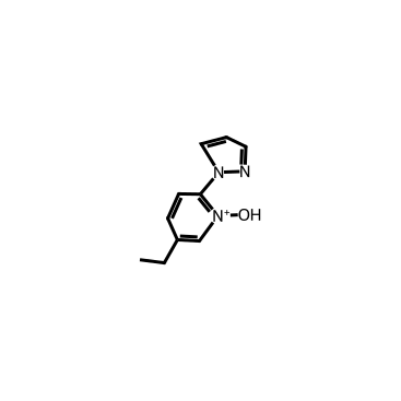 CCc1ccc(-n2cccn2)[n+](O)c1